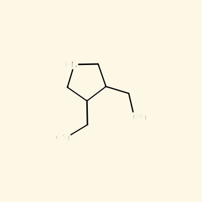 CC(C)(C)CC1CNCC1CC(C)(C)C